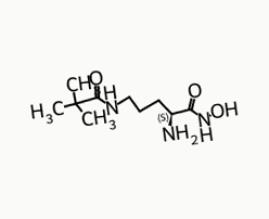 CC(C)(C)C(=O)NCCC[C@H](N)C(=O)NO